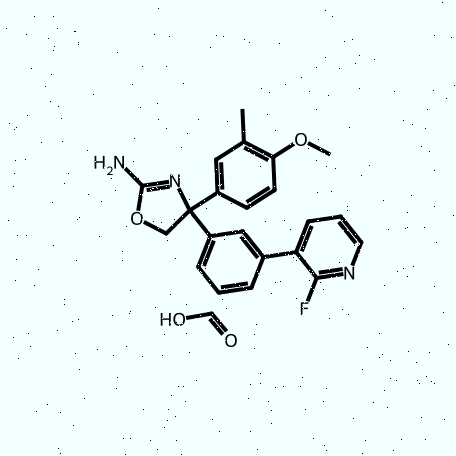 COc1ccc(C2(c3cccc(-c4cccnc4F)c3)COC(N)=N2)cc1C.O=CO